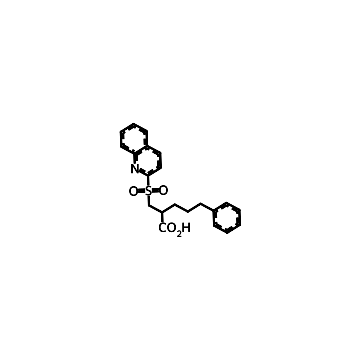 O=C(O)C(CCCc1ccccc1)CS(=O)(=O)c1ccc2ccccc2n1